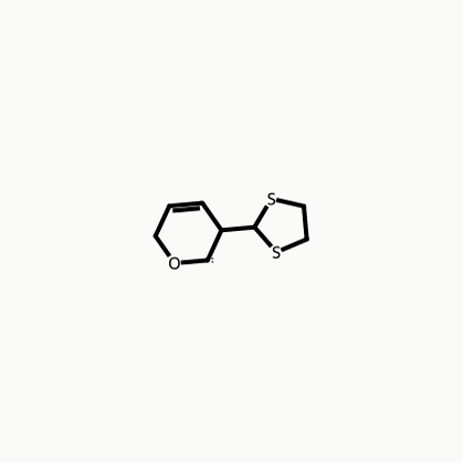 [C]1OCC=CC1C1SCCS1